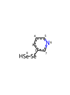 [SeH][Se]c1cccnc1